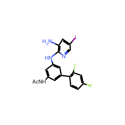 CC(=O)Nc1cc(Nc2ncc(I)cc2N)cc(-c2ccc(F)cc2F)c1